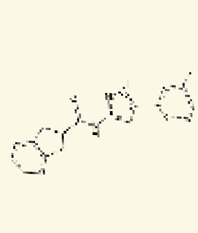 Cc1cccc(-c2cc(NC(=O)C3Cc4ccccc4C3)n[nH]2)c1